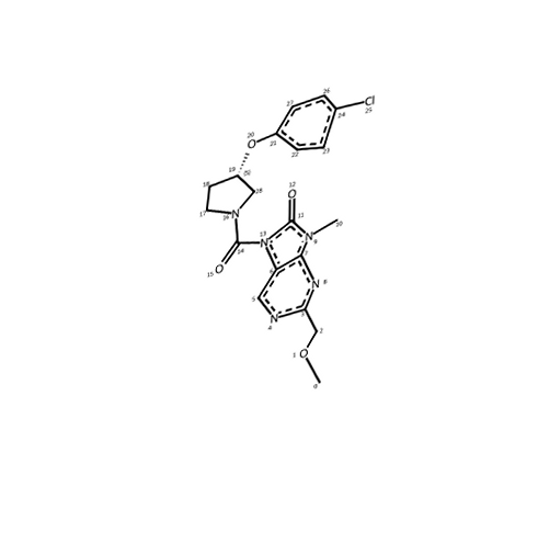 COCc1ncc2c(n1)n(C)c(=O)n2C(=O)N1CC[C@H](Oc2ccc(Cl)cc2)C1